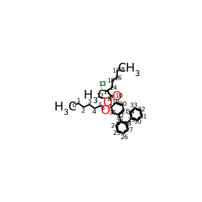 CCCCCCOC1(OC(=O)C(C)(F)CCCCC)C=CC=C(c2ccccc2-c2ccccc2)C1